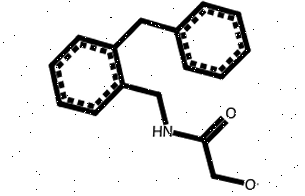 [O]CC(=O)NCc1ccccc1Cc1ccccc1